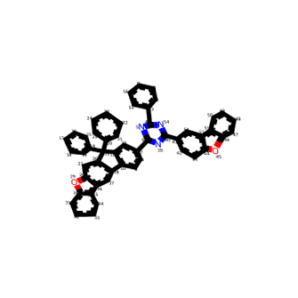 c1ccc(-c2nc(-c3ccc4c(c3)C(c3ccccc3)(c3ccccc3)c3cc5oc6ccccc6c5cc3-4)nc(-c3ccc4oc5ccccc5c4c3)n2)cc1